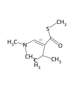 CSC(=O)/C(=C/N(C)C)C(C)C